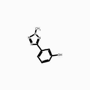 Cn1nnc(-c2cccc(O)c2)n1